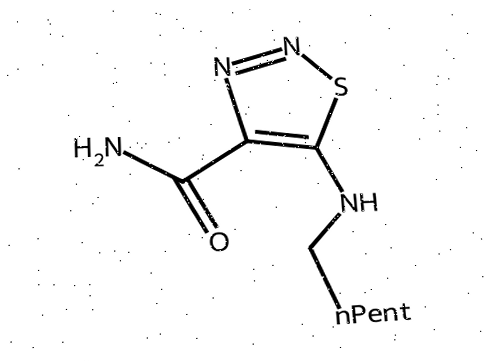 CCCCCCNc1snnc1C(N)=O